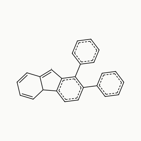 [C]1=C2C=CC=CC2c2ccc(-c3ccccc3)c(-c3ccccc3)c21